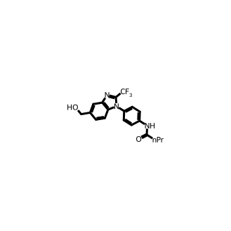 CCCC(=O)Nc1ccc(-n2c(C(F)(F)F)nc3cc(CO)ccc32)cc1